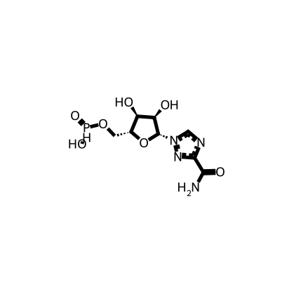 NC(=O)c1ncn([C@@H]2O[C@H](CO[PH](=O)O)[C@@H](O)[C@H]2O)n1